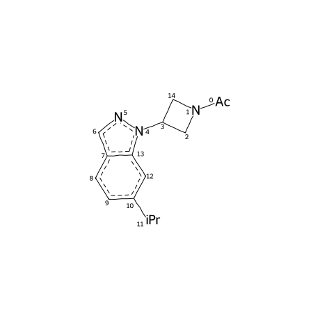 CC(=O)N1CC(n2ncc3ccc(C(C)C)cc32)C1